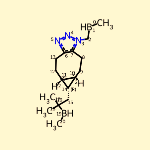 CBCn1nnc2c1CC[C@H]1[C@@H](CC2)[C@H]1CC(C)(C)BC